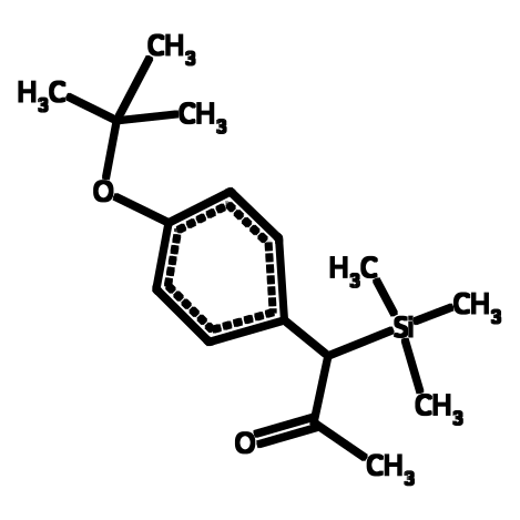 CC(=O)C(c1ccc(OC(C)(C)C)cc1)[Si](C)(C)C